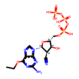 CCOc1nc(N)nc2c1ncn2[C@@H]1O[C@H](COP(=O)(O)OP(=O)(O)OP(=O)(O)O)[C@@H](O)[C@H]1C#N